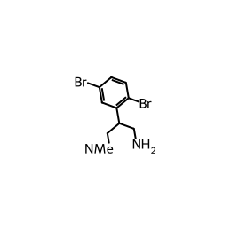 CNCC(CN)c1cc(Br)ccc1Br